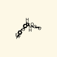 COCCOCC(=O)Nc1c[nH]c2ccc(OCc3ccc(C(F)(F)F)cc3)cc12